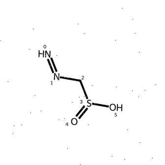 N=NCS(=O)O